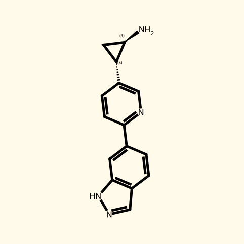 N[C@@H]1C[C@H]1c1ccc(-c2ccc3cn[nH]c3c2)nc1